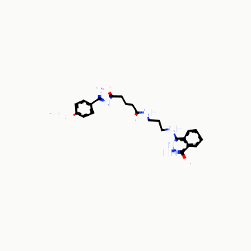 O=C(CCCc1nc(-c2ccc(OC(F)(F)F)cc2)no1)NCCCNc1n[nH]c(=O)c2ccccc12